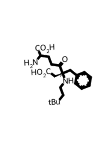 CC(C)(C)CCN[C@@](CC(=O)O)(Cc1ccccc1)C(=O)CCC(N)C(=O)O